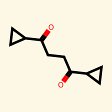 O=C(CCC(=O)C1CC1)C1CC1